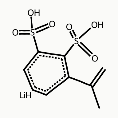 C=C(C)c1cccc(S(=O)(=O)O)c1S(=O)(=O)O.[LiH]